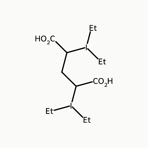 CCI(CC)C(CC(C(=O)O)I(CC)CC)C(=O)O